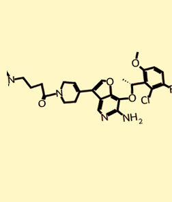 COc1ccc(F)c(Cl)c1[C@@H](C)Oc1c(N)ncc2c(C3=CCN(C(=O)CCCN(C)C)CC3)coc12